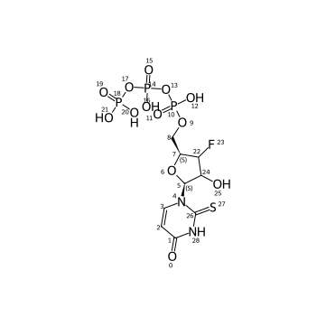 O=c1ccn([C@H]2O[C@@H](COP(=O)(O)OP(=O)(O)OP(=O)(O)O)C(F)C2O)c(=S)[nH]1